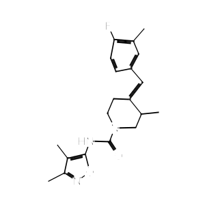 Cc1cc(/C=C2\CCN(C(=O)Nc3onc(C)c3C)CC2C)ccc1F